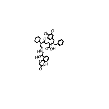 O=C1COc2c(cccc2C(O)CNCCN(C(=O)CCN(C(=O)O)[C@@H](Cc2ccccc2)Cc2ccc(Cl)c(Cl)c2)C2CCCCC2)N1